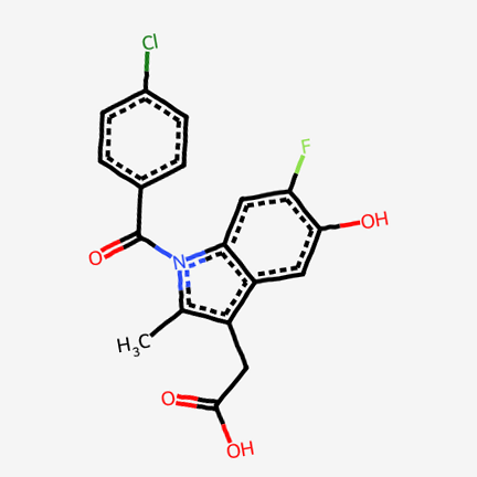 Cc1c(CC(=O)O)c2cc(O)c(F)cc2n1C(=O)c1ccc(Cl)cc1